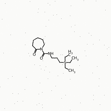 CCS(CC)(CC)CCCNC(=O)N1CCCCCC1=O